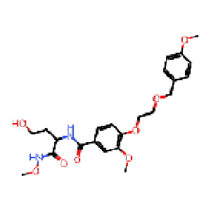 CONC(=O)C(CCO)NC(=O)c1ccc(OCCOCc2ccc(OC)cc2)c(OC)c1